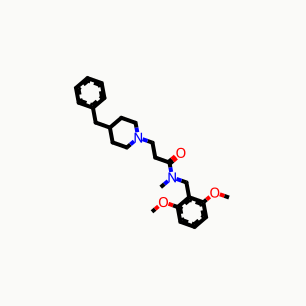 COc1cccc(OC)c1CN(C)C(=O)CCN1CCC(Cc2ccccc2)CC1